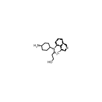 Cc1cncc2cccc(N(CCCO)C3CCC(N)CC3)c12